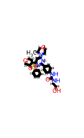 C[C@H]1COCCN1c1cc(C2(S(=O)(=O)c3ccccc3)CCOCC2)nc(-c2ccc(NC(=O)NCCO)cc2)n1